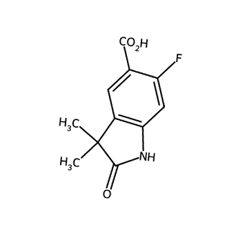 CC1(C)C(=O)Nc2cc(F)c(C(=O)O)cc21